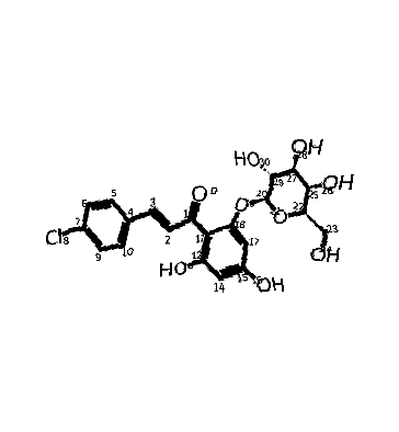 O=C(/C=C/c1ccc(Cl)cc1)c1c(O)cc(O)cc1O[C@@H]1O[C@H](CO)[C@H](O)[C@H](O)[C@H]1O